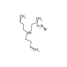 C=CCC[SiH](CCC=C)CCC=C.[SiH3]Br